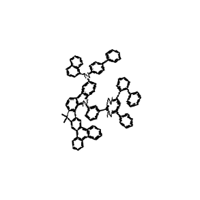 CC1(C)c2cc3c4ccccc4c4ccccc4c3cc2-c2c1ccc1c3cc(N(c4ccc(-c5ccccc5)cc4)c4cccc5ccccc45)ccc3n(-c3cccc(-c4nc(-c5ccccc5)cc(-c5ccccc5-c5ccccc5)n4)c3)c21